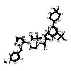 COc1ccc(Cn2nccc2N2CCN(C(=O)c3cc4nc(C5CCC(C)(C)CC5)cc(C(C)(C)C)c4o3)C(C)(C)C2=O)cc1